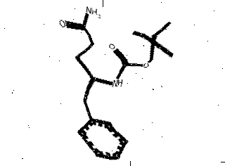 CC(C)(C)OC(=O)NC(CCC(N)=O)Cc1ccccc1